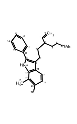 C=CC(CCNC)CCc1c(-c2ccccc2)[nH]c2c(C)c(F)ccc12